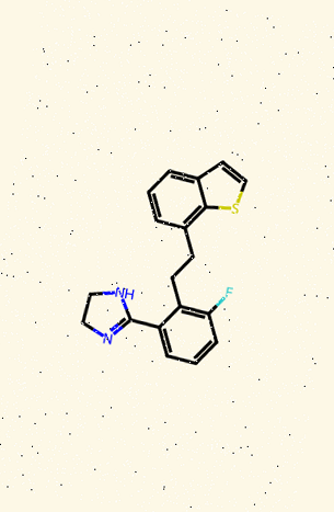 Fc1cccc(C2=NCCN2)c1CCc1cccc2ccsc12